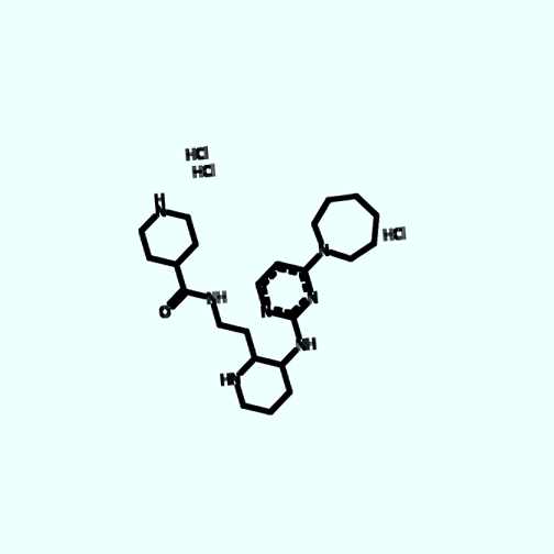 Cl.Cl.Cl.O=C(NCCC1NCCCC1Nc1nccc(N2CCCCCC2)n1)C1CCNCC1